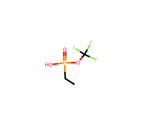 CCP(=O)(O)OC(F)(F)F